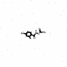 Cc1cc(Br)ccc1C(=O)NOC(=O)C(C)(C)C